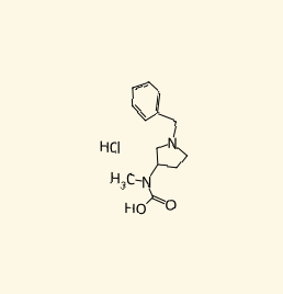 CN(C(=O)O)C1CCN(Cc2ccccc2)C1.Cl